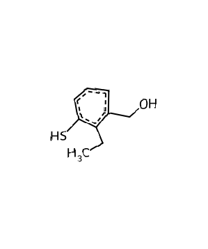 CCc1c(S)cccc1CO